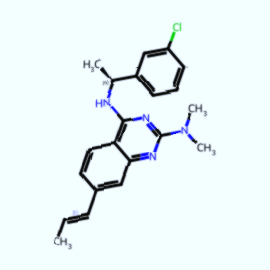 C/C=C/c1ccc2c(N[C@@H](C)c3cc[c]c(Cl)c3)nc(N(C)C)nc2c1